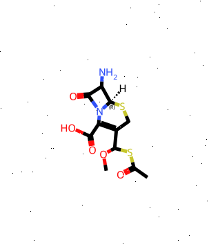 COC(SC(C)=O)C1=C(C(=O)O)N2C(=O)C(N)[C@H]2SC1